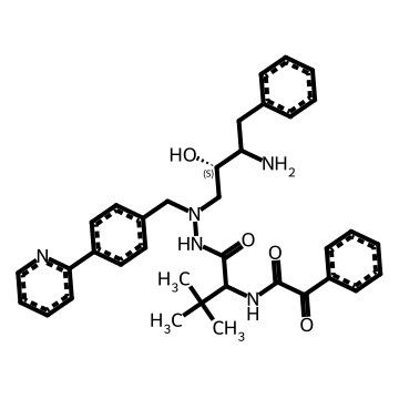 CC(C)(C)C(NC(=O)C(=O)c1ccccc1)C(=O)NN(Cc1ccc(-c2ccccn2)cc1)C[C@H](O)C(N)Cc1ccccc1